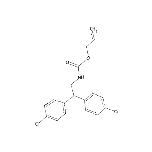 C=CCOC(=O)NCC(c1ccc(Cl)cc1)c1ccc(Cl)cc1